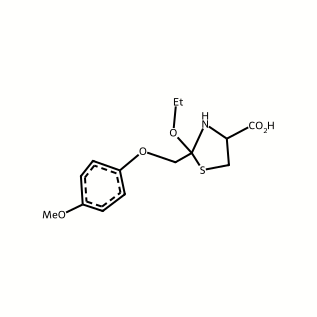 CCOC1(COc2ccc(OC)cc2)NC(C(=O)O)CS1